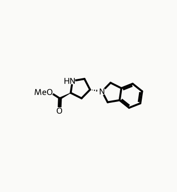 COC(=O)[C@@H]1C[C@@H](N2Cc3ccccc3C2)CN1